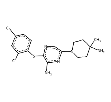 CC1(N)CCN(c2cnc(Sc3ccc(Cl)cc3Cl)c(N)n2)CC1